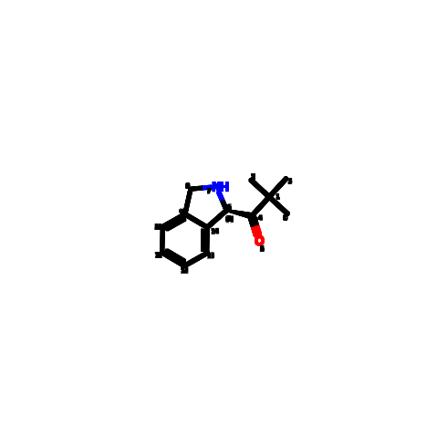 CC(C)(C)C(=O)[C@@H]1NCc2ccccc21